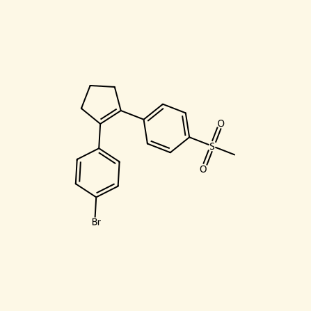 CS(=O)(=O)c1ccc(C2=C(c3ccc(Br)cc3)CCC2)cc1